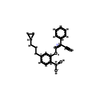 N#C/C(=N\Oc1cc(CCCN2CC2)ccc1[N+](=O)[O-])c1ccccc1